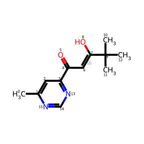 Cc1cc(C(=O)/C=C(\O)C(C)(C)C)ncn1